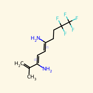 C=C(C)/C(N)=C/C=C(\N)CCC(F)(F)C(F)(F)F